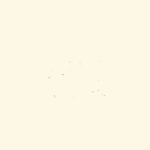 CCOC(=O)CC1(c2ccc(-n3c(=O)n(C)c4cnc5ccc(-c6ccc7cc[nH]c7c6)cc5c43)cc2)COC1